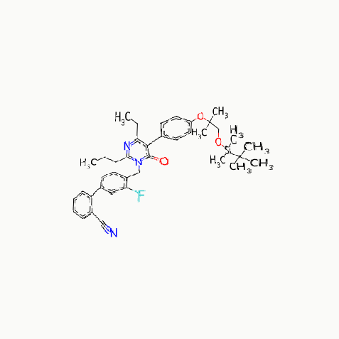 CCCc1nc(CC)c(-c2ccc(OC(C)(C)CO[Si](C)(C)C(C)(C)C)cc2)c(=O)n1Cc1ccc(-c2ccccc2C#N)cc1F